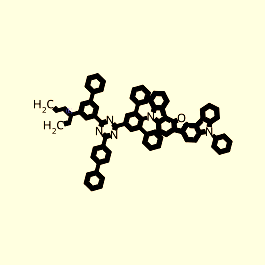 C=C/C=C(\C=C)c1cc(-c2ccccc2)cc(-c2nc(-c3ccc(-c4ccccc4)cc3)nc(-c3cc(-c4ccccc4)c(-n4c5ccccc5c5c6oc7c(ccc8c7c7ccccc7n8-c7ccccc7)c6ccc54)c(-c4ccccc4)c3)n2)c1